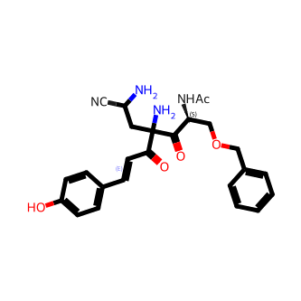 CC(=O)N[C@@H](COCc1ccccc1)C(=O)C(N)(CC(N)C#N)C(=O)/C=C/c1ccc(O)cc1